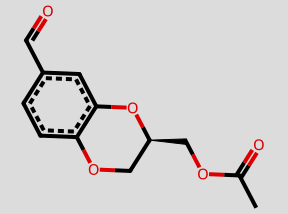 CC(=O)OC[C@H]1COc2ccc(C=O)cc2O1